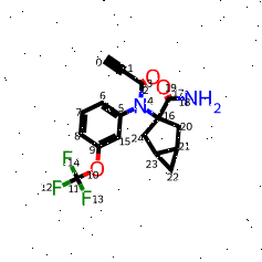 C#CC(=O)N(c1cccc(OC(F)(F)F)c1)C1(C(N)=O)CC2CC2C1